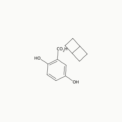 C1CC2CCC12.O=C(O)c1cc(O)ccc1O